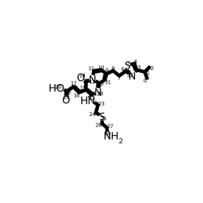 CC(C)c1csc(CCc2ccn3c(=O)c(C=CC(=O)O)c(NCCSCCN)nc3c2)n1